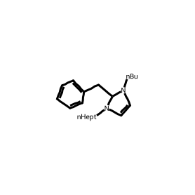 CCCCCCCN1C=CN(CCCC)C1Cc1ccccc1